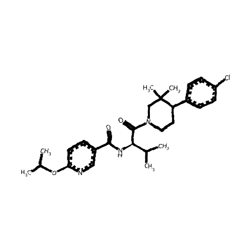 CC(C)Oc1ccc(C(=O)N[C@@H](C(=O)N2CCC(c3ccc(Cl)cc3)C(C)(C)C2)C(C)C)cn1